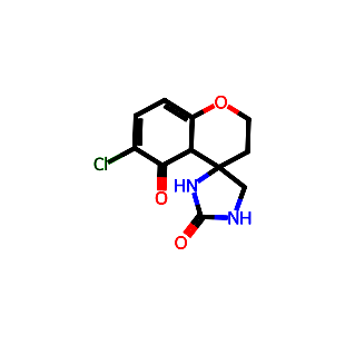 O=C1NCC2(CCOC3=CC=C(Cl)C(=O)C32)N1